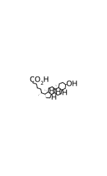 C[C@H](CCCCC(=O)O)[C@H]1CC[C@H]2[C@@H]3CC[C@@H]4C[C@H](O)CC[C@]4(C)[C@H]3CC[C@]12C